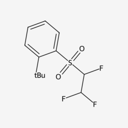 CC(C)(C)c1ccccc1S(=O)(=O)C(F)C(F)F